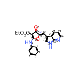 CCOC(=O)C1=C(Nc2ccccc2)O/C(=C\c2c[nH]c3ncccc23)C1=O